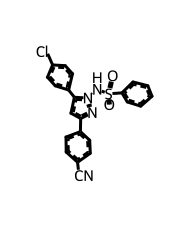 N#Cc1ccc(-c2cc(-c3ccc(Cl)cc3)n(NS(=O)(=O)c3ccccc3)n2)cc1